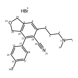 Br.CN(C)CCCc1cc2c(c(-c3ccc(F)cc3)c1C#N)COC2